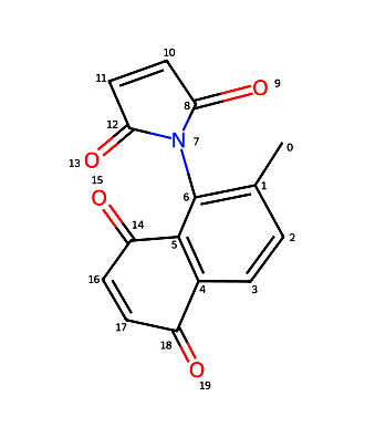 Cc1ccc2c(c1N1C(=O)C=CC1=O)C(=O)C=CC2=O